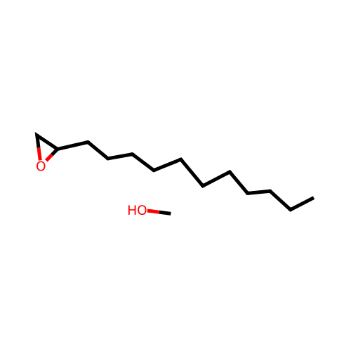 CCCCCCCCCCCC1CO1.CO